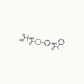 CC(C(=O)Nc1ccc(C2CCC(C(=O)NC(C)(C)C(=O)O)CC2)cc1)c1ccccc1